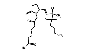 CCCCC(F)(F)C(C)(O)/C=C/C1CCC(=O)N1CC(=O)CCCCC(=O)O